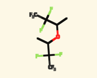 CC(OC(C)C(F)(F)C(F)(F)F)C(F)(F)C(F)(F)F